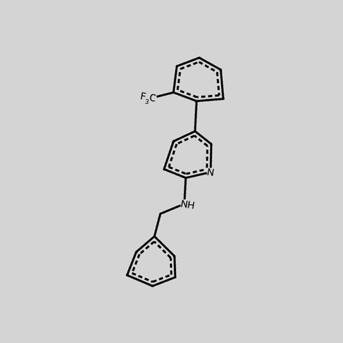 FC(F)(F)c1ccccc1-c1ccc(NCc2ccccc2)nc1